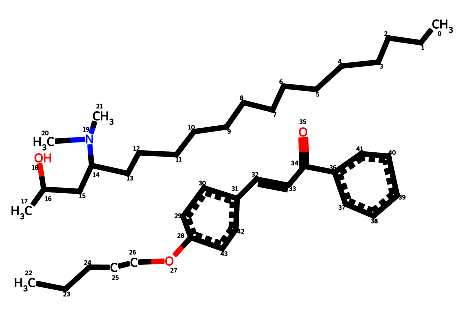 CCCCCCCCCCCCCCC(CC(C)O)N(C)C.CCCCCOc1ccc(C=CC(=O)c2ccccc2)cc1